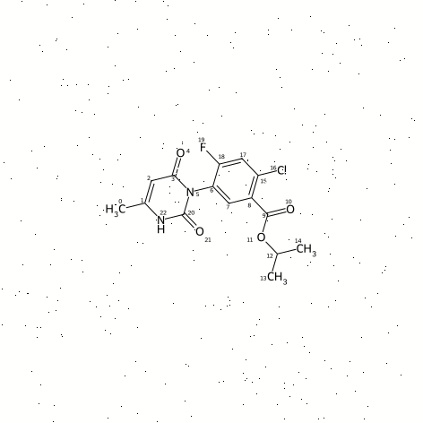 Cc1cc(=O)n(-c2cc(C(=O)OC(C)C)c(Cl)cc2F)c(=O)[nH]1